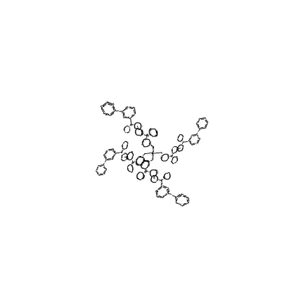 O=C(OCC(COC(=O)OOC(=O)c1cccc(-c2ccccc2)c1)(COC(=O)OOC(=O)c1cccc(-c2ccccc2)c1)COC(=O)OOC(=O)c1cccc(-c2ccccc2)c1)OOC(=O)c1cccc(-c2ccccc2)c1